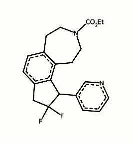 CCOC(=O)N1CCc2ccc3c(c2CC1)C(c1cccnc1)C(F)(F)C3